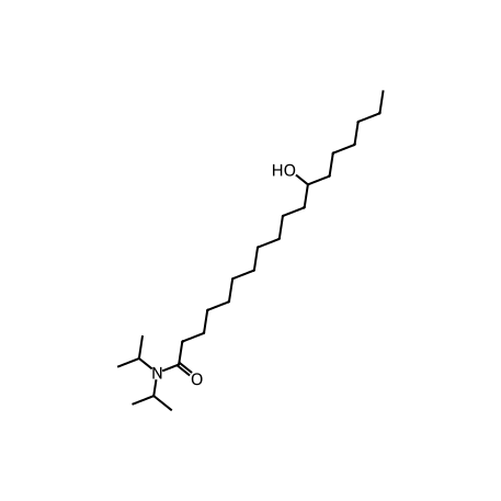 CCCCCCC(O)CCCCCCCCCCC(=O)N(C(C)C)C(C)C